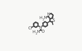 Cc1sc2ccnc(N)c2c1-c1ccc(N(C(N)=O)c2cccc(Cl)c2)cc1